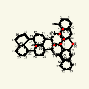 Cc1ccccc1-c1nc(-c2ccc(C3=C=C=Cc4cccc(-c5ccc(-c6nc(-c7ccccc7C)nc(-c7ccccc7C)n6)cc5)c43)cc2)nc(-c2ccccc2C)n1